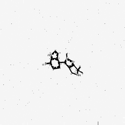 Cn1nc2c(c1-c1ccc(F)c3[nH]ccc13)CNC2(C)C